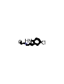 O=C/C=C/c1cc2cc(Cl)ccc2[nH]1